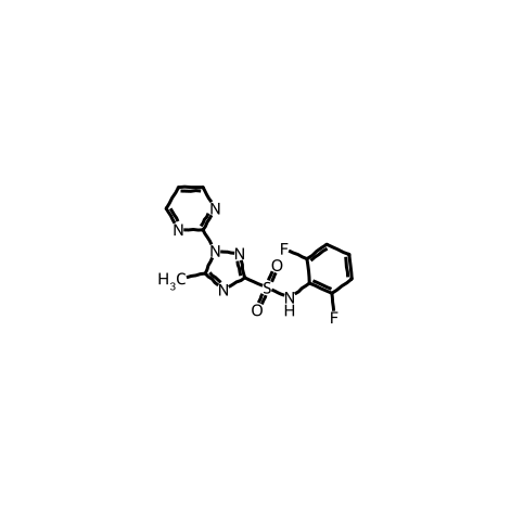 Cc1nc(S(=O)(=O)Nc2c(F)cccc2F)nn1-c1ncccn1